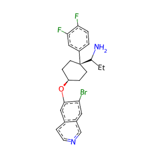 CCC(N)[C@]1(c2ccc(F)c(F)c2)CC[C@H](Oc2cc3ccncc3cc2Br)CC1